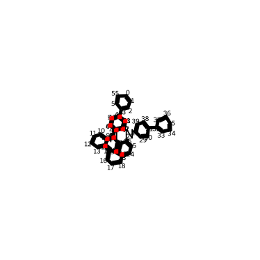 c1ccc(-c2ccc(N(c3ccccc3-c3ccccc3)c3ccccc3N(c3ccc(-c4ccccc4)cc3)c3ccccc3-c3ccccc3)cc2)cc1